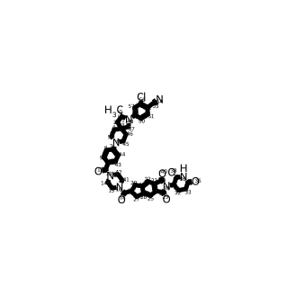 C[C@H]1CC2(CCN(c3ccc(C(=O)N4CCN(C(=O)C5Cc6cc7c(cc6C5)C(=O)N(C5CCC(=O)NC5=O)C7=O)CC4)cc3)CC2)CN1c1ccc(C#N)c(Cl)c1